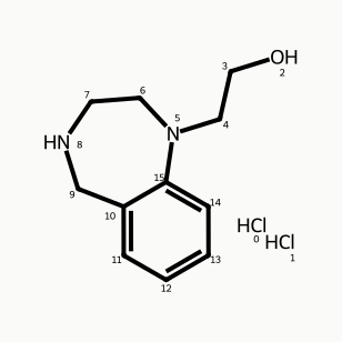 Cl.Cl.OCCN1CCNCc2ccccc21